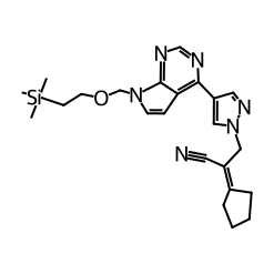 C[Si](C)(C)CCOCn1ccc2c(-c3cnn(CC(C#N)=C4CCCC4)c3)ncnc21